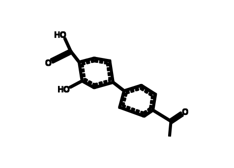 CC(=O)c1ccc(-c2ccc(C(=O)O)c(O)c2)cc1